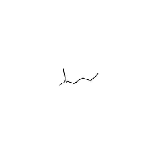 CCC[CH2][Al]([CH3])[CH3]